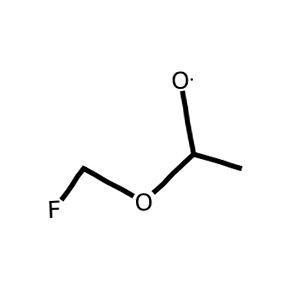 CC([O])OCF